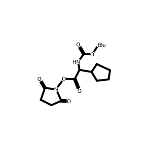 CC(C)(C)OC(=O)NC(C(=O)ON1C(=O)CCC1=O)C1CCCC1